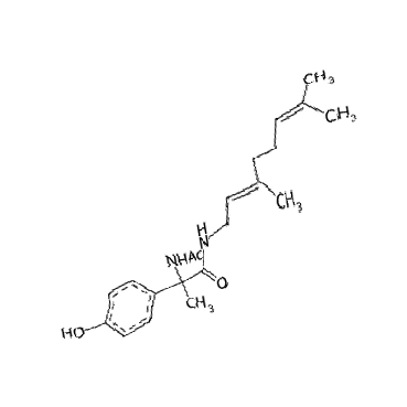 CC(=O)NC(C)(C(=O)NC/C=C(\C)CCC=C(C)C)c1ccc(O)cc1